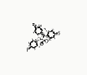 O=S(=O)(Oc1ccc(F)cc1)P(c1ccc(F)cc1)c1ccc(F)cc1